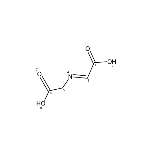 O=C(O)/C=N/CC(=O)O